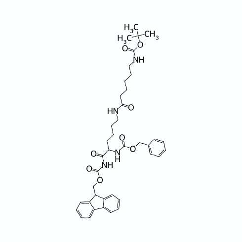 CC(C)(C)OC(=O)NCCCCCC(=O)NCCCCC(NC(=O)OCc1ccccc1)C(=O)NC(=O)OCC1c2ccccc2-c2ccccc21